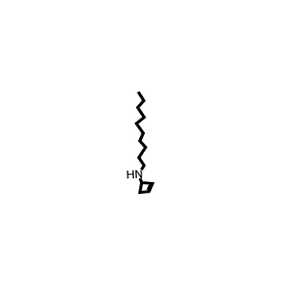 CCCCCCCCCCNC1C=CC1